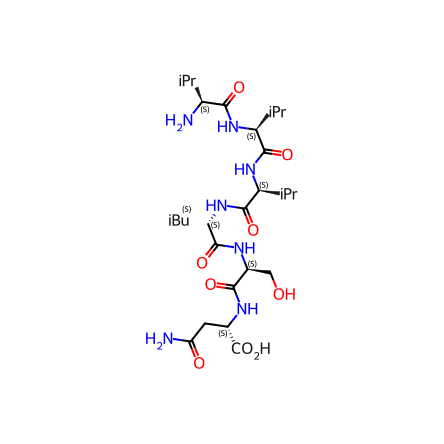 CC[C@H](C)[C@H](NC(=O)[C@@H](NC(=O)[C@@H](NC(=O)[C@@H](N)C(C)C)C(C)C)C(C)C)C(=O)N[C@@H](CO)C(=O)N[C@@H](CC(N)=O)C(=O)O